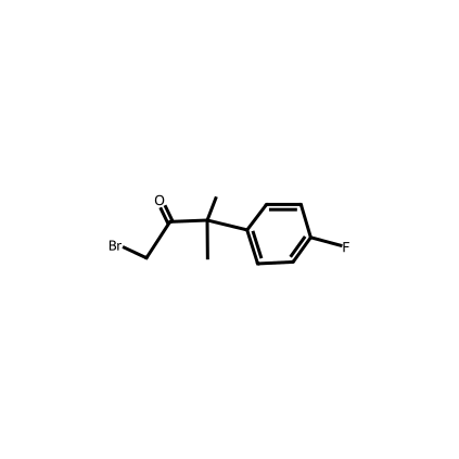 CC(C)(C(=O)CBr)c1ccc(F)cc1